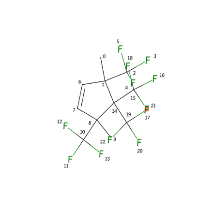 CC1(C(F)(F)F)C=CC(C)(C(F)(F)F)C1(C(F)(F)F)C(F)(F)F